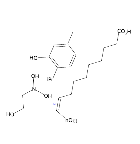 CCCCCCCC/C=C\CCCCCCCC(=O)O.Cc1ccc(C(C)C)c(O)c1.OCCN(O)O